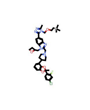 Cc1nnc(-c2ccc3c(c2)nc(CN2CCC(c4cccc5c4OC(C)(c4ccc(Cl)cc4F)O5)CC2)n3CC2CCO2)n1COCC[Si](C)(C)C